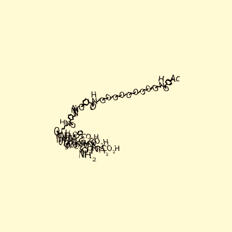 CC(=O)c1ccc(C(=O)NCCOCCOCCOCCOCCOCCOCCOCCOCCOCCNC(=O)c2cccc(OCc3cn(Cc4cccc(C(=O)NCCCCC(NC(=O)C(CC(C)C)NC(=O)C(CC(C)C)NC(=O)C(Cc5ccccc5)NC(=O)C(CCC(=O)O)NC(=O)C(CC(N)=O)NC(=O)C(CC(=O)O)NC(=O)C(N)CCC(=O)O)C(N)=O)c4)nn3)c2)cc1